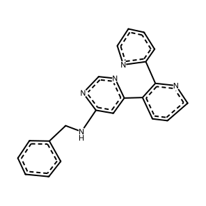 c1ccc(CNc2cc(-c3cccnc3-c3ccccn3)ncn2)cc1